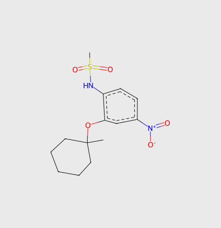 CC1(Oc2cc([N+](=O)[O-])ccc2NS(C)(=O)=O)CCCCC1